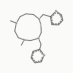 CN1CCCN(Cc2ccccn2)CCN(Cc2ccccn2)CN(C)CC1